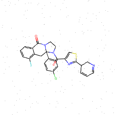 O=C(c1csc(C2C=CC=NC2)n1)N1CCN2C(=O)c3cccc(F)c3CC12c1ccc(Cl)cc1